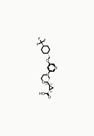 O=C(O)[C@H]1C[C@@H]1[C@H]1CN(c2cncc(OC[C@H]3CC[C@H](C(F)(F)F)CC3)c2)CCO1